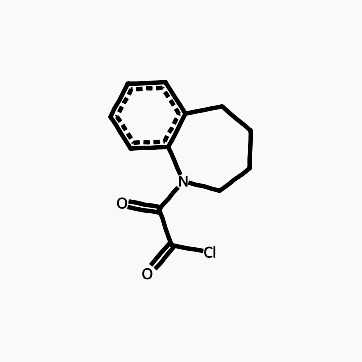 O=C(Cl)C(=O)N1CCCCc2ccccc21